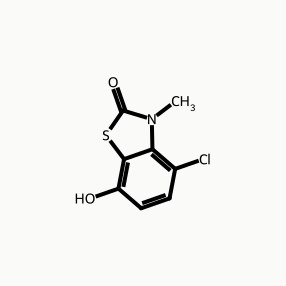 Cn1c(=O)sc2c(O)ccc(Cl)c21